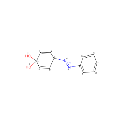 OC1(O)C=CC(/N=N/c2ccccc2)C=C1